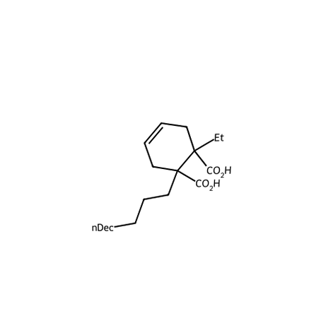 CCCCCCCCCCCCCC1(C(=O)O)CC=CCC1(CC)C(=O)O